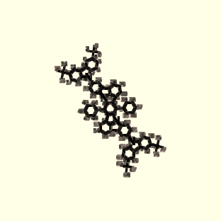 CC(C)(C)c1ccc2c(c1)c1cc(C(C)(C)C)ccc1n2-c1ccc2c(c1)c1cccc3c4c(-c5ccccc5)c5c(c(-c6ccccc6)c4n2c13)c1cccc2c3cc(-n4c6ccc(C(C)(C)C)cc6c6cc(C(C)(C)C)ccc64)ccc3n5c21